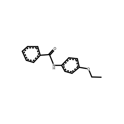 CCOc1ccc(NC(=O)c2ccccc2)cc1